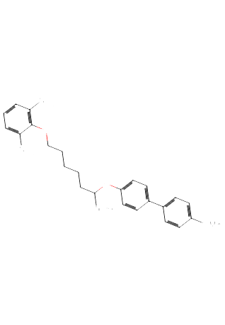 CCCCCCC(CCCCCOc1c([N+](=O)[O-])cccc1[N+](=O)[O-])Oc1ccc(-c2ccc(OC)cc2)cc1